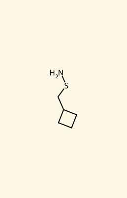 NSCC1CCC1